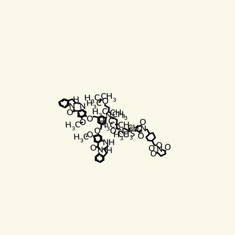 COc1cc2c(cc1OCc1cc(COc3cc4c(cc3OC)C(=O)N3c5ccccc5C[C@H]3CN4)cc(N(C(C)(C)CCOC(C)(C)C)C(C)(C)CC(C)(C)C(=O)N(C)CC(C)(C)SC3CC(=O)N(CC4CCC(C(=O)ON5C(=O)CCC5=O)CC4)C3=O)c1)N=C[C@@H]1Cc3ccccc3N1C2=O